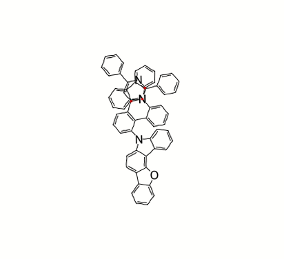 c1ccc(-c2cc(-c3cccc(-n4c5ccccc5c5c6oc7ccccc7c6ccc54)c3-c3ccccc3-n3c4ccccc4c4ccccc43)nc(-c3ccccc3)n2)cc1